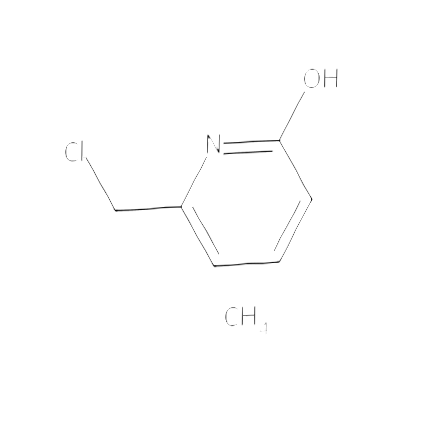 C.Oc1cccc(CCl)n1